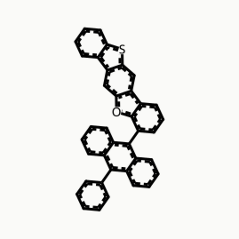 c1ccc(-c2c3ccccc3c(-c3cccc4c3oc3cc5c(cc34)sc3ccccc35)c3ccccc23)cc1